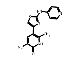 Cc1[nH]c(=O)c(C#N)cc1-c1csc(Nc2ccncc2)n1